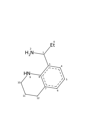 CCC(N)c1cccc2c1NCCC2